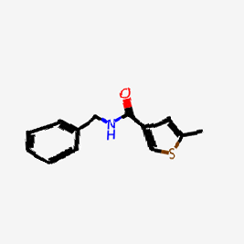 Cc1cc(C(=O)NCc2ccccc2)cs1